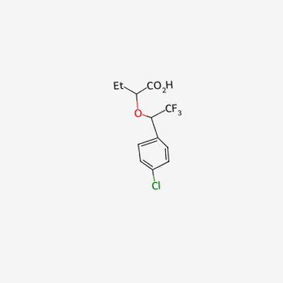 CCC(OC(c1ccc(Cl)cc1)C(F)(F)F)C(=O)O